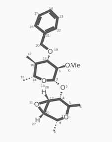 CO[C@H]1[C@H](O[C@@H]2C(C)O[C@H](C)[C@@H]3O[C@@H]32)O[C@H](C)[C@@H](C)[C@@H]1OCc1ccccc1